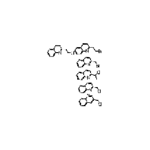 BrCCc1ccc2ccccc2n1.BrCc1ccc2ccccc2n1.CC(Cl)c1ccc2ccccc2n1.ClCCc1ccc2ccccc2n1.ClCc1ccc2ccccc2n1.ClCc1cnc2ccccc2c1